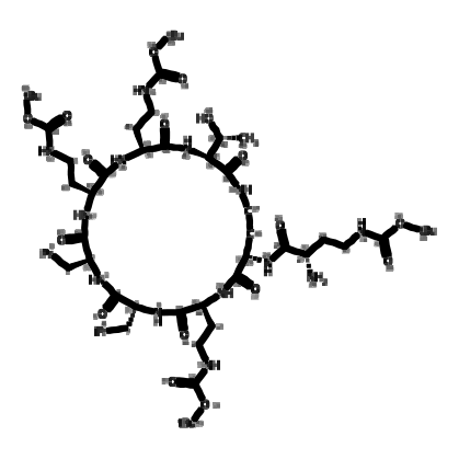 CC(C)C[C@@H]1NC(=O)[C@@H](CC(C)C)NC(=O)[C@H](CCNC(=O)OC(C)(C)C)NC(=O)[C@@H](NC(=O)[C@@H](N)CCNC(=O)OC(C)(C)C)CCNC(=O)[C@H]([C@@H](C)O)NC(=O)[C@H](CCNC(=O)OC(C)(C)C)NC(=O)[C@H](CCNC(=O)OC(C)(C)C)NC1=O